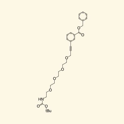 CC(C)(C)OC(=O)NCCOCCOCCOCCOCC#Cc1cccc(C(=O)OCc2ccccc2)c1